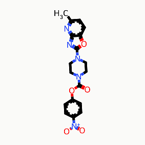 Cc1ccc2oc(N3CCN(C(=O)Oc4ccc([N+](=O)[O-])cc4)CC3)nc2n1